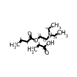 C=CC(=O)O.C=CCC(=O)OCCN(CC)CC